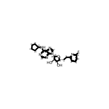 O[C@@H]1[C@H](O)[C@@H](CCc2cccc(F)n2)O[C@H]1n1cnc2c(NC3CCCC3)ncnc21